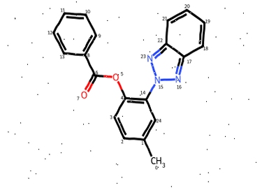 Cc1ccc(OC(=O)c2ccccc2)c(-n2nc3ccccc3n2)c1